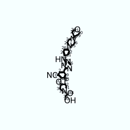 N#Cc1cc(-c2ncnc(Nc3ccc(N4CCN(C5CCOCC5)CC4)cc3)n2)ccc1O[C@H]1CCN(C(=O)CO)C[C@@H]1F